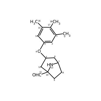 Cc1cc(OC2CC3CCC(C=O)(C2)N3)cc(C)c1C